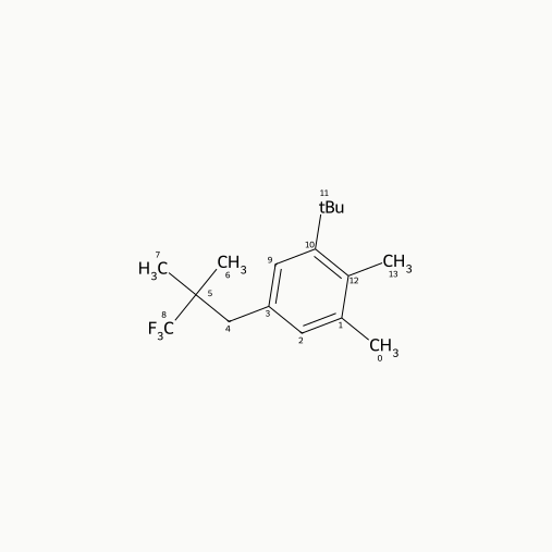 Cc1cc(CC(C)(C)C(F)(F)F)cc(C(C)(C)C)c1C